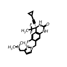 CN(C)Cc1ccn(Cc2cc3c(cc2F)[C@@](C#CC2CC2)(C(C)(F)F)NC(=O)N3)n1